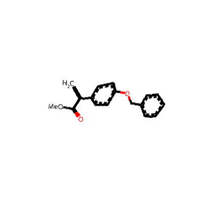 C=C(C(=O)OC)c1ccc(OCc2ccccc2)cc1